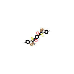 Cc1ccc(-c2sc3c(oc4cc5c(cc43)oc3c(Br)c(-c4ccc(C)cc4Br)sc35)c2Br)c(Br)c1